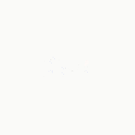 Cc1ccn2ncc(-n3cc(-c4ccn(C)c(=O)c4)cn3)c2n1